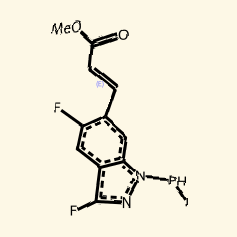 COC(=O)/C=C/c1cc2c(cc1F)c(F)nn2PI